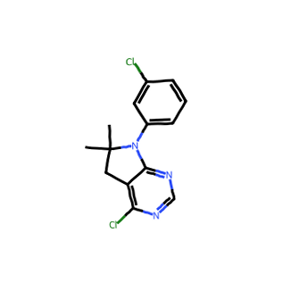 CC1(C)Cc2c(Cl)ncnc2N1c1cccc(Cl)c1